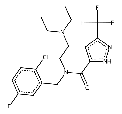 CCN(CC)CCN(Cc1cc(F)ccc1Cl)C(=O)c1cc(C(F)(F)F)n[nH]1